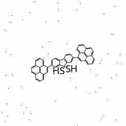 SC1(S)c2cc(-c3cc4cccc5ccc6cccc3c6c54)ccc2-c2ccc(-c3cc4cccc5ccc6cccc3c6c54)cc21